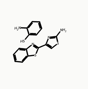 Nc1ccccc1S.Nc1nc(-c2nc3ccccc3s2)cs1